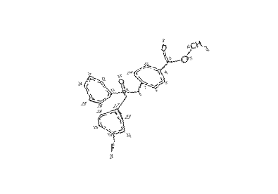 COC(=O)c1ccc(CP(=O)(c2ccccc2)c2ccc(F)cc2)cc1